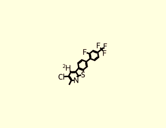 [2H]c1c(Cl)c(C)nc2sc3cc(-c4ccc(C(F)(F)F)cc4F)ccc3c12